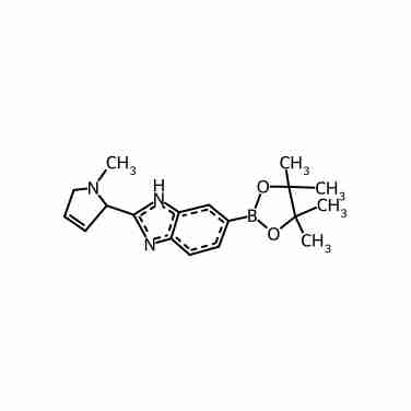 CN1CC=CC1c1nc2ccc(B3OC(C)(C)C(C)(C)O3)cc2[nH]1